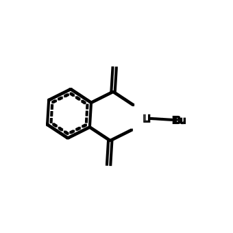 C=C(C)c1ccccc1C(=C)C.[Li][CH](C)CC